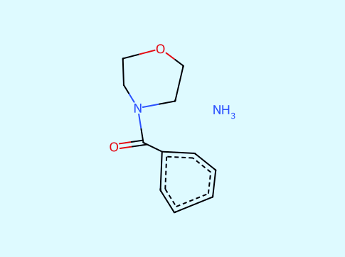 N.O=C(c1ccccc1)N1CCOCC1